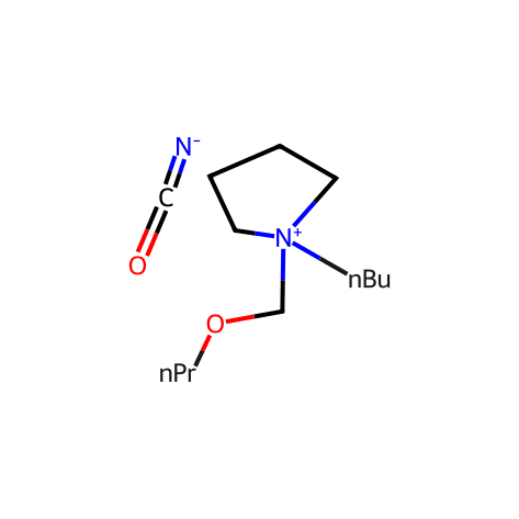 CCCC[N+]1(COCCC)CCCC1.[N-]=C=O